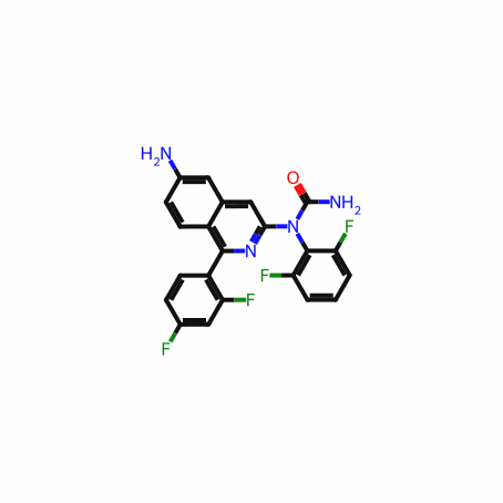 NC(=O)N(c1cc2cc(N)ccc2c(-c2ccc(F)cc2F)n1)c1c(F)cccc1F